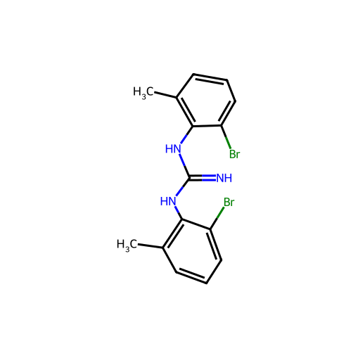 Cc1cccc(Br)c1NC(=N)Nc1c(C)cccc1Br